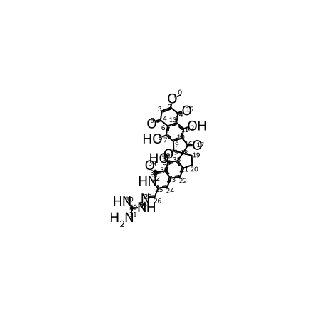 COC1=CC(=O)c2c(O)c3c(c(O)c2C1=O)C(=O)C1(CCc2cc4cc(C=NNC(=N)N)[nH]c(=O)c4c(O)c21)C3=O